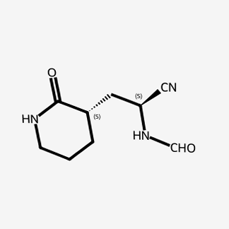 N#C[C@H](C[C@@H]1CCCNC1=O)NC=O